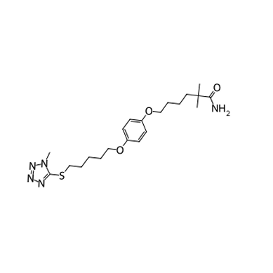 Cn1nnnc1SCCCCCOc1ccc(OCCCCC(C)(C)C(N)=O)cc1